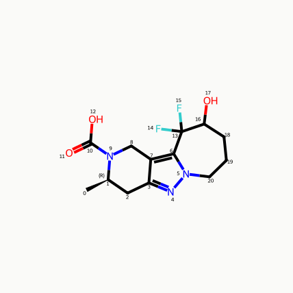 C[C@@H]1Cc2nn3c(c2CN1C(=O)O)C(F)(F)C(O)CCC3